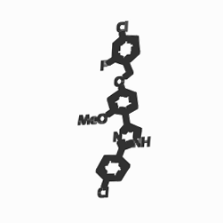 COc1cc(OCc2ccc(Cl)cc2F)ccc1-c1c[nH]c(-c2ccc(Cl)cc2)n1